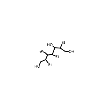 CCCC(C(CC)CO)C(CC)C(O)C(CC)CO